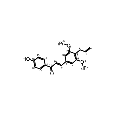 C=CCc1c(OC(C)C)cc(C=CC(=O)c2ccc(O)cc2)cc1OC(C)C